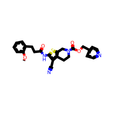 COc1ccccc1CCC(=O)Nc1sc2c(c1C#N)CCN(C(=O)OCc1ccncc1)C2